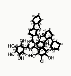 Oc1c(O)c(O)c(-c2nc(-c3ccc4c(sc5ccccc54)c3-n3c4ccccc4c4c(-c5ccccc5)cccc43)nc(-c3c(O)c(O)c(O)c(O)c3O)n2)c(O)c1O